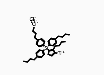 CCCCC1=C([Si](c2ccc(CCCC)cc2)(c2ccc(CCCC)cc2)c2ccc(CCCC)cc2)CC=[C]1[Ti+3].[Cl-].[Cl-].[Cl-]